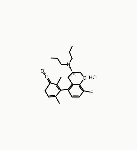 CCCN(CCC)[C@H]1COc2c(F)ccc(C3=C(C)C(=C=O)CC=C3C)c2C1.Cl